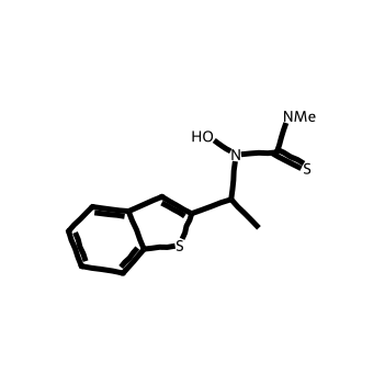 CNC(=S)N(O)C(C)c1cc2ccccc2s1